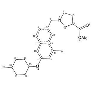 COC(=O)C1CCN(Cc2ccc3cc(OC4CCC(C)CC4)cc(C)c3c2)C1